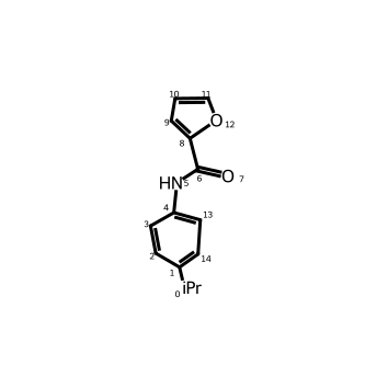 CC(C)c1ccc(NC(=O)c2ccco2)cc1